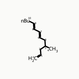 C=CCC(C)CC=CC=CCCCC